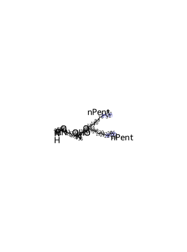 CCCCC/C=C\C/C=C\CCCCCCCCC(CCCCCCCC/C=C\C/C=C\CCCCC)OC(=O)CCCN(C)CC(O)CCCCNC(=O)c1cc[nH]c1